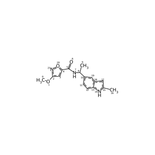 COc1cc(C(=O)NC(C)c2ccc3[nH]c(C)cc3c2)on1